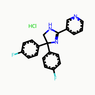 Cl.Fc1ccc(C2(c3ccc(F)cc3)CNC(c3cccnc3)=N2)cc1